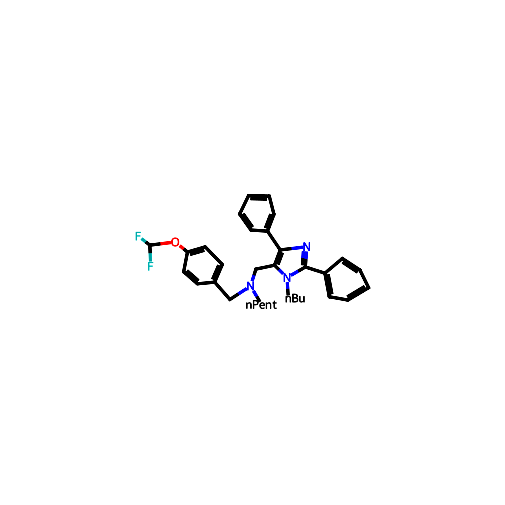 CCCCCN(Cc1ccc(OC(F)F)cc1)Cc1c(-c2ccccc2)nc(-c2ccccc2)n1CCCC